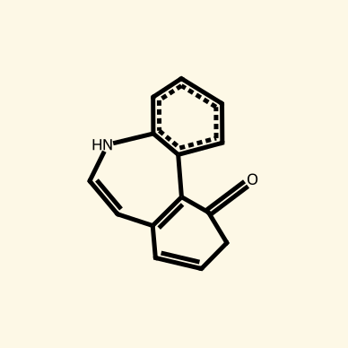 O=C1CC=CC2=C1c1ccccc1NC=C2